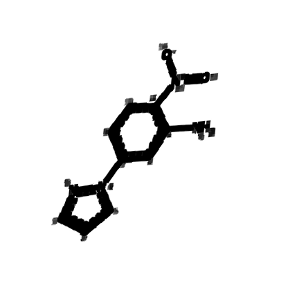 Nc1cc(-n2cccn2)ccc1[N+](=O)[O-]